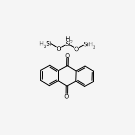 O=C1c2ccccc2C(=O)c2ccccc21.[SiH3]O[SiH2]O[SiH3]